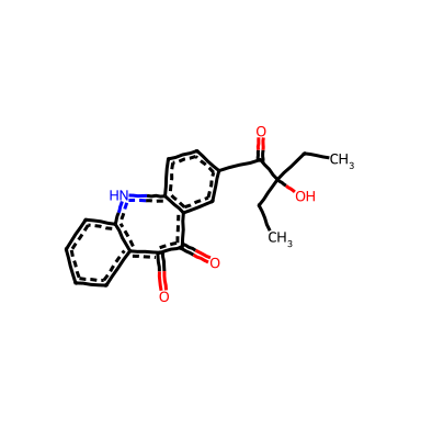 CCC(O)(CC)C(=O)c1ccc2[nH]c3ccccc3c(=O)c(=O)c2c1